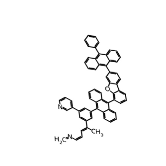 C=N/C=C\C=C(/C)c1cc(-c2cccnc2)cc(-c2c3ccccc3c(-c3cccc4c3oc3cc(-c5c6ccccc6c(-c6ccccc6)c6ccccc56)ccc34)c3ccccc23)c1